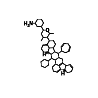 CC1CC(C2CCCC(N)C2)OC(C)C1C1CCC2C3C(C4C=CCC=CC4)C4CC5=C6C(=CCCC6C4C(C4CCCCC4)C3[C@@H]3CCC=C1C23)[C@H]1CCC=CC51